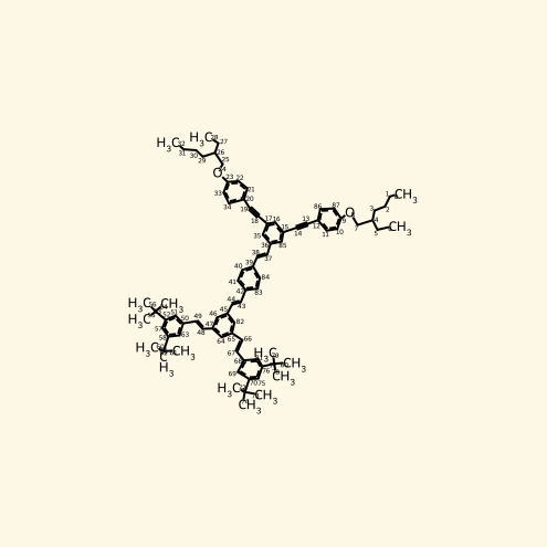 CCCCC(CC)COc1ccc(C#Cc2cc(C#Cc3ccc(OCC(CC)CCCC)cc3)cc(C=Cc3ccc(C=Cc4cc(C=Cc5cc(C(C)(C)C)cc(C(C)(C)C)c5)cc(C=Cc5cc(C(C)(C)C)cc(C(C)(C)C)c5)c4)cc3)c2)cc1